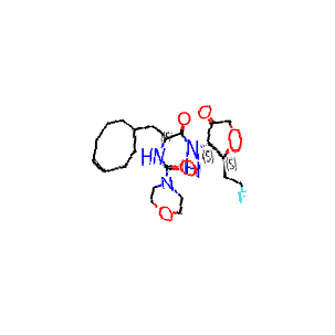 O=C(N[C@@H]1C(=O)CO[C@H]1CCF)[C@H](CC1CCCCCCC1)NC(=O)N1CCOCC1